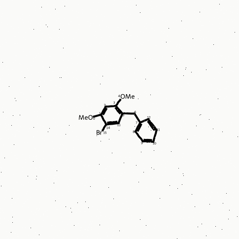 COc1cc(OC)c(Cc2ccccc2)cc1Br